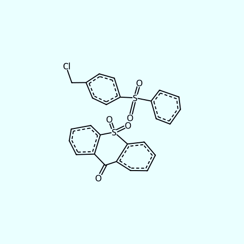 O=C1c2ccccc2S(=O)(=O)c2ccccc21.O=S(=O)(c1ccccc1)c1ccc(CCl)cc1